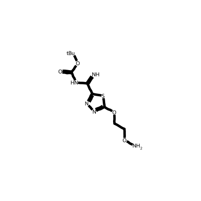 CC(C)(C)OC(=O)NC(=N)c1nnc(OCCON)s1